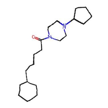 O=C(CCCCC1CCCCC1)N1CCN(C2CCCC2)CC1